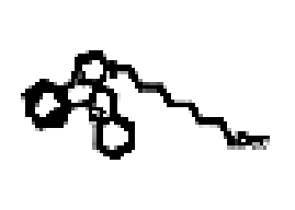 CCCCCCCCCCCCCCCCCN1C=CN(c2ccccc2)C1(Cc1ccccc1)C(CC)c1ccccc1